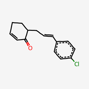 O=C1C=CCCC1CC=Cc1ccc(Cl)cc1